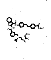 COC(=O)c1ccc(CCc2ccc(NC(=O)c3c(NC(=O)c4cccc(CN(CCN(C)C(=O)OC(C)(C)C)C5CC5)c4)sc4c3CCCC4)cc2)cc1